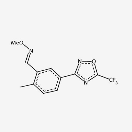 CO/N=C/c1cc(-c2noc(C(F)(F)F)n2)ccc1C